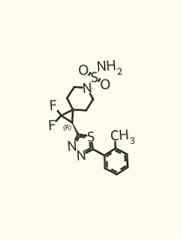 Cc1ccccc1-c1nnc([C@H]2C(F)(F)C23CCN(S(N)(=O)=O)CC3)s1